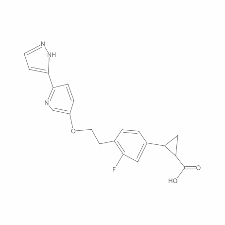 O=C(O)C1CC1c1ccc(CCOc2ccc(-c3ccn[nH]3)nc2)c(F)c1